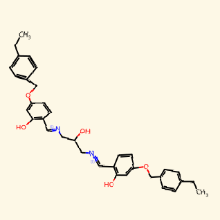 CCc1ccc(COc2ccc(/C=N/CC(O)C/N=C/c3ccc(OCc4ccc(CC)cc4)cc3O)c(O)c2)cc1